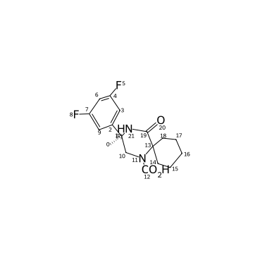 C[C@@]1(c2cc(F)cc(F)c2)CN(C(=O)O)C2(CCCCC2)C(=O)N1